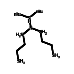 CCCC[SiH](CCCC)N([SiH2]CC[SiH3])[SiH2]CC[SiH3]